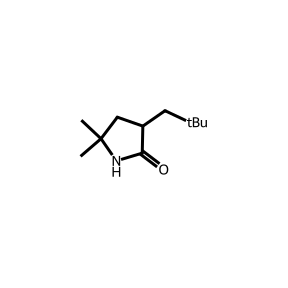 CC(C)(C)CC1CC(C)(C)NC1=O